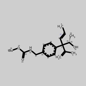 C=C(C)C(/C=C/C)(c1ccc(CNC(=O)OC(C)(C)C)cc1)[C@H](C)O